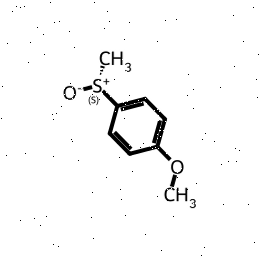 COc1ccc([S@@+](C)[O-])cc1